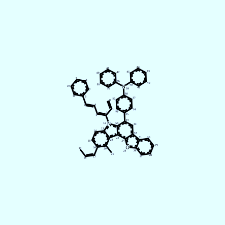 C=C/C(=C\C=C\c1ccccc1)n1c2ccc(/C=C\C)c(C)c2c2c3oc4ccccc4c3cc(-c3ccc(N(c4ccccc4)c4ccccc4)cc3)c21